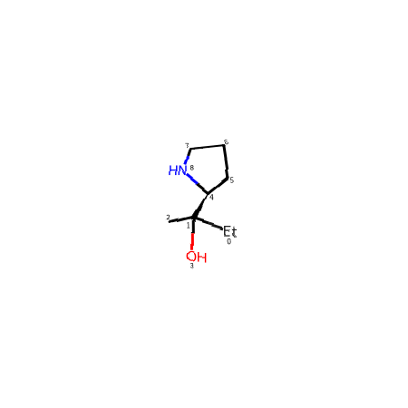 CCC(C)(O)[C@@H]1CCCN1